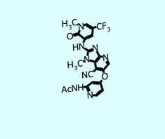 CC(=O)Nc1cc(Oc2cnc3nc(Nc4cc(C(F)(F)F)cn(C)c4=O)n(C)c3c2C#N)ccn1